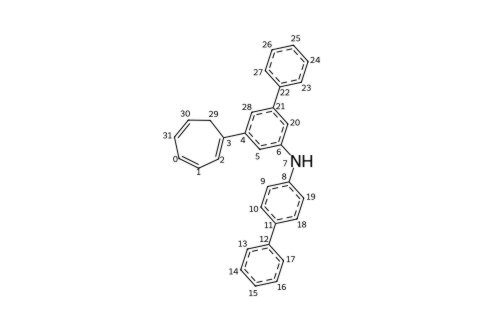 C1=CC=C(c2cc(Nc3ccc(-c4ccccc4)cc3)cc(-c3ccccc3)c2)CC=C1